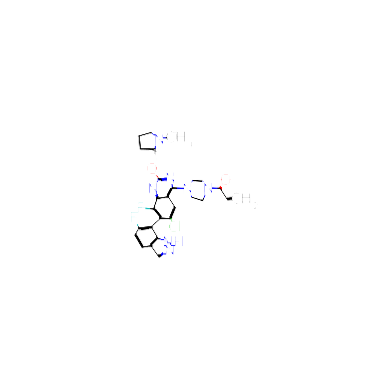 C=CC(=O)N1CCN(c2nc(OC[C@@H]3CCCN3C)nc3c(F)c(-c4c(F)ccc5cn[nH]c45)c(Cl)cc23)CC1